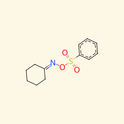 O=S(=O)(ON=C1CCCCC1)c1ccccc1